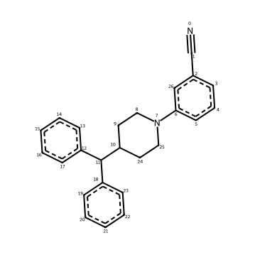 N#Cc1cccc(N2CCC(C(c3ccccc3)c3ccccc3)CC2)c1